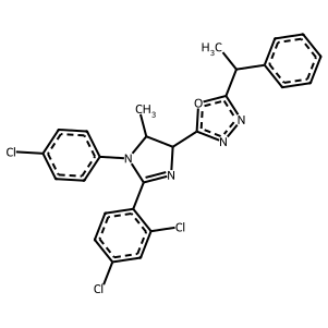 CC(c1ccccc1)c1nnc(C2N=C(c3ccc(Cl)cc3Cl)N(c3ccc(Cl)cc3)C2C)o1